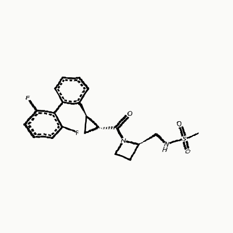 CS(=O)(=O)NC[C@H]1CCN1C(=O)[C@@H]1C[C@H]1c1ccccc1-c1c(F)cccc1F